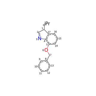 CC(C)C1C=Nc2c(OCc3ccccc3)cccc21